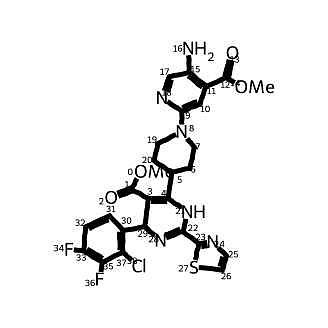 COC(=O)C1=C(C2CCN(c3cc(C(=O)OC)c(N)cn3)CC2)NC(c2nccs2)=NC1c1ccc(F)c(F)c1Cl